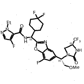 CCn1ncc(F)c1C(=O)N[C@H](c1nc2cc([C@@H](COC)N3C[C@@H](C(F)(F)F)NC3=O)cc(F)c2o1)C1CCC(F)(F)CC1